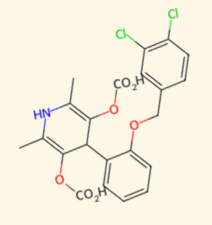 CC1=C(OC(=O)O)C(c2ccccc2OCc2ccc(Cl)c(Cl)c2)C(OC(=O)O)=C(C)N1